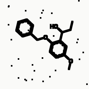 CCC(O)c1cc(OC)ccc1OCc1ccccc1